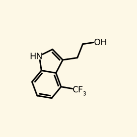 OCCc1c[nH]c2cccc(C(F)(F)F)c12